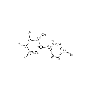 CC(=O)C(C)C(C)C(=O)Oc1ccc(C)cc1